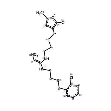 Cc1nc(CSCCNC(=C[N+](=O)[O-])NCCSCc2ncccc2Cl)c(Cl)o1